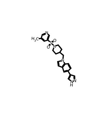 Cc1cncc(S(=O)(=O)N2CCC(Cn3ccc4cc(-c5cn[nH]c5)ccc43)CC2)c1